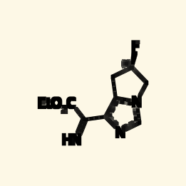 CCOC(=O)C(=N)c1ncn2c1C[C@@H](F)C2